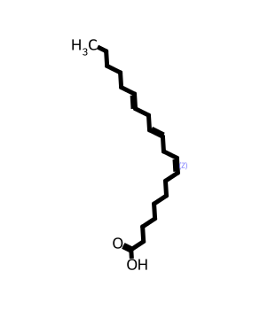 CCCCCC=CCC=CC/C=C\CCCCCCC(=O)O